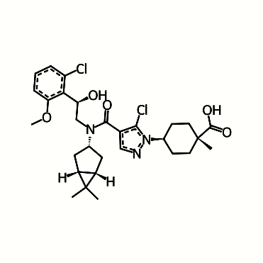 COc1cccc(Cl)c1[C@@H](O)CN(C(=O)c1cnn([C@H]2CC[C@](C)(C(=O)O)CC2)c1Cl)[C@H]1C[C@@H]2[C@H](C1)C2(C)C